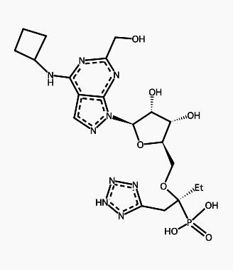 CC[C@](Cc1nn[nH]n1)(OC[C@H]1O[C@@H](n2ncc3c(NC4CCC4)nc(CO)nc32)[C@H](O)[C@@H]1O)P(=O)(O)O